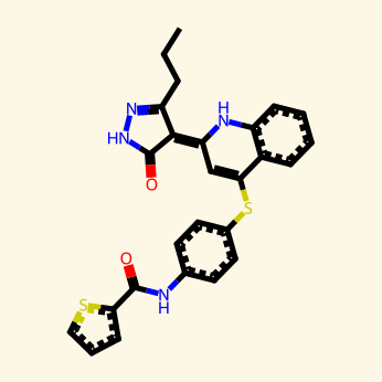 CCCC1=NNC(=O)C1=C1C=C(Sc2ccc(NC(=O)c3cccs3)cc2)c2ccccc2N1